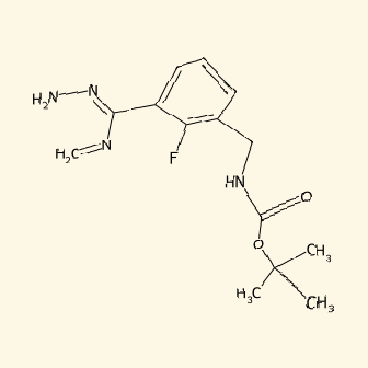 C=N/C(=N\N)c1cccc(CNC(=O)OC(C)(C)C)c1F